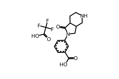 O=C(O)C(F)(F)F.O=C(O)c1cccc(N2CC3CNCCC3C2=O)c1